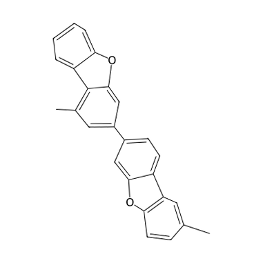 Cc1ccc2oc3cc(-c4cc(C)c5c(c4)oc4ccccc45)ccc3c2c1